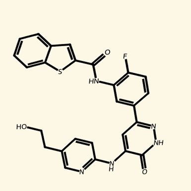 O=C(Nc1cc(-c2cc(Nc3ccc(CCO)cn3)c(=O)[nH]n2)ccc1F)c1cc2ccccc2s1